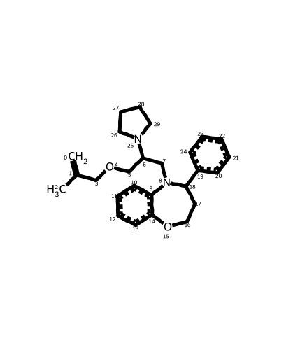 C=C(C)COCC(CN1c2ccccc2OCCC1c1ccccc1)N1CCCC1